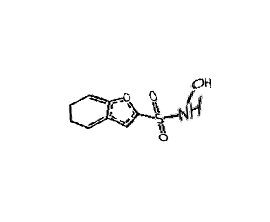 O=S(=O)(NO)c1cc2c(o1)=CCCC=2